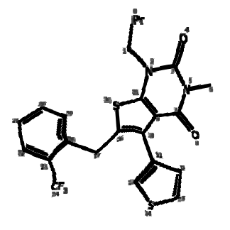 CC(C)Cn1c(=O)n(C)c(=O)c2c(-c3ccsc3)c(Cc3ccccc3C(F)(F)F)sc21